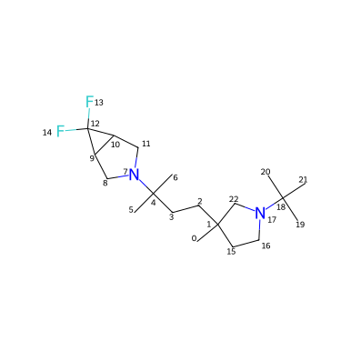 CC1(CCC(C)(C)N2CC3C(C2)C3(F)F)CCN(C(C)(C)C)C1